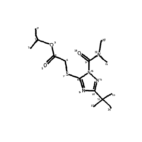 CC(C)OC(=O)CSc1nc(C(C)(C)C)nn1C(=O)N(C)C